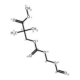 COC(=O)C(C)(C)COC(=O)OCOC=O